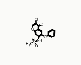 CS(=O)(=O)Nc1cc2occ(Cl)c(=O)c2cc1Oc1ccccc1